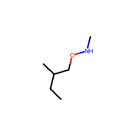 CCC(C)CONC